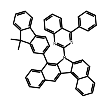 CC1(C)c2ccccc2-c2ccc(-c3c4ccccc4cc4c5c6ccccc6ccc5n(-c5nc(-c6ccccc6)c6ccccc6n5)c34)cc21